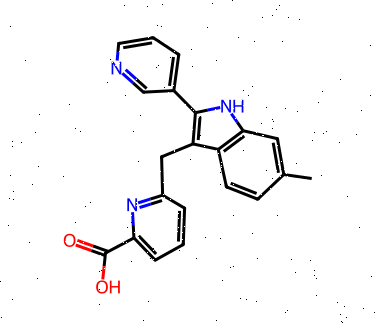 Cc1ccc2c(Cc3cccc(C(=O)O)n3)c(-c3cccnc3)[nH]c2c1